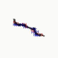 CCCCOc1ccc(NC(=O)Nc2ccc(NNC(=O)C[n+]3cccc(C(=O)NCCCCCCNOCc4ccc[n+](CC(O)NNc5ccc(NC(=O)Nc6ccc(OCCCC)cc6)cc5)c4)c3)cc2)cc1